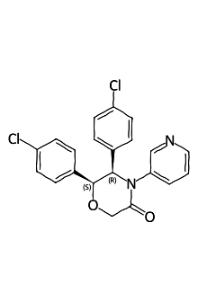 O=C1CO[C@@H](c2ccc(Cl)cc2)[C@@H](c2ccc(Cl)cc2)N1c1cccnc1